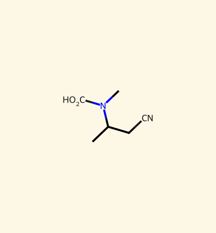 CC(CC#N)N(C)C(=O)O